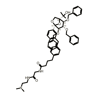 Cc1ccc([C@]23OC[C@](C(C)(C)O)(O2)[C@@H](OCc2ccccc2)[C@H](OCc2ccccc2)[C@H]3OCc2ccccc2)cc1Cc1ccc(CCCC(=O)NCC(=O)NCCN(C)C)cc1